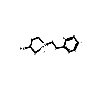 SC1CCN(CCc2ccccc2)CC1